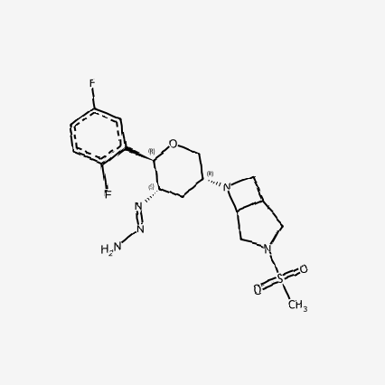 CS(=O)(=O)N1CC2CN([C@H]3CO[C@H](c4cc(F)ccc4F)[C@@H](N=NN)C3)C2C1